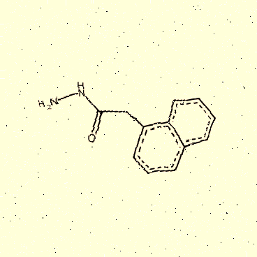 NNC(=O)Cc1cccc2ccccc12